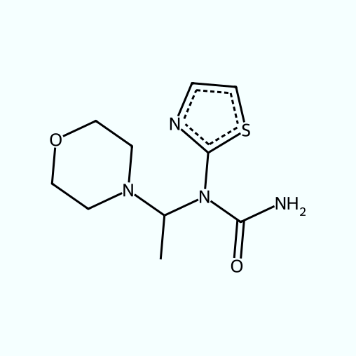 CC(N1CCOCC1)N(C(N)=O)c1nccs1